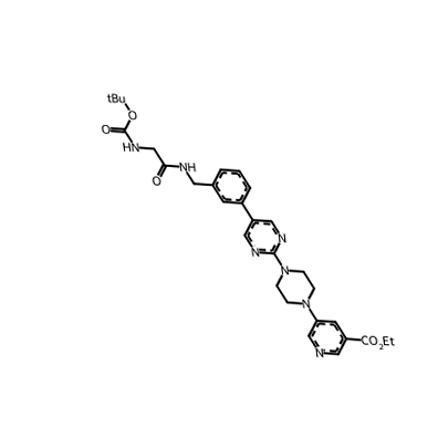 CCOC(=O)c1cncc(N2CCN(c3ncc(-c4cccc(CNC(=O)CNC(=O)OC(C)(C)C)c4)cn3)CC2)c1